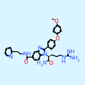 COc1ccc(Oc2ccc(-c3nc4cc(C(=O)NCCc5ccccn5)ccc4n3[C@@H](CCCNC(=N)N)C(N)=O)cc2)cc1